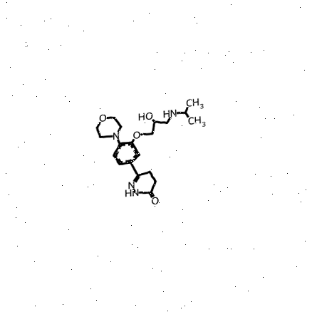 CC(C)NCC(O)COc1cc(C2=NNC(=O)CC2)ccc1N1CCOCC1